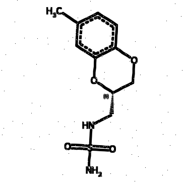 Cc1ccc2c(c1)O[C@@H](CNS(N)(=O)=O)CO2